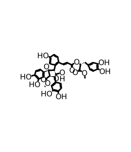 COC(=O)[C@@H](Cc1ccc(O)c(O)c1)OC(=O)C=Cc1ccc(O)c2c1[C@H](C(=O)O)[C@](c1ccc(O)c(O)c1)([C@@H](Cc1ccc(O)c(O)c1)C(=O)OC)O2